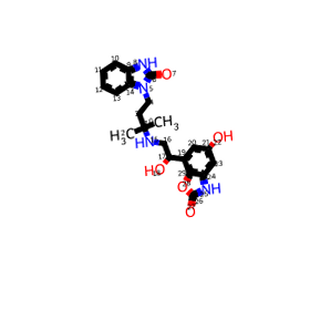 CC(C)(CCn1c(=O)[nH]c2ccccc21)NCC(O)c1cc(O)cc2[nH]c(=O)oc12